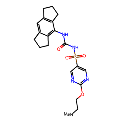 CNCCOc1ncc(S(=O)(=O)NC(=O)Nc2c3c(cc4c2CCC4)CCC3)cn1